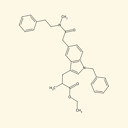 CCOC(=O)C(C)Cc1cn(Cc2ccccc2)c2ccc(CC(=O)N(C)CCc3ccccc3)cc12